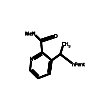 CCCCCC(C)c1cccnc1C(=O)NC